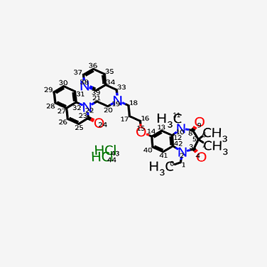 CCN1C(=O)C(C)(C)C(=O)N(C)c2cc(OCCCN(CCn3c(=O)ccc4ccccc43)Cc3cccnc3)ccc21.Cl.Cl